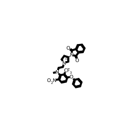 CN(CCN1CC[C@H](N2C(=O)c3ccccc3C2=O)C1)c1c([N+](=O)[O-])ccc(Oc2ccccc2)c1C(F)(F)F